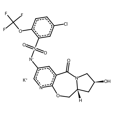 O=C1c2cc([N-]S(=O)(=O)c3cc(Cl)ccc3OC(F)(F)F)cnc2OC[C@H]2C[C@H](O)CN12.[K+]